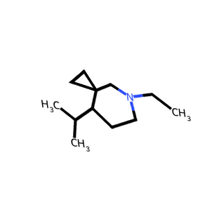 CCN1CCC(C(C)C)C2(CC2)C1